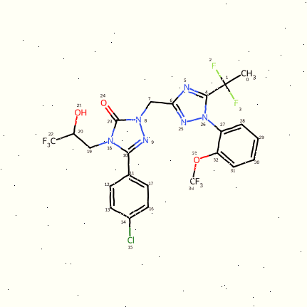 CC(F)(F)c1nc(Cn2nc(-c3ccc(Cl)cc3)n(CC(O)C(F)(F)F)c2=O)nn1-c1ccccc1OC(F)(F)F